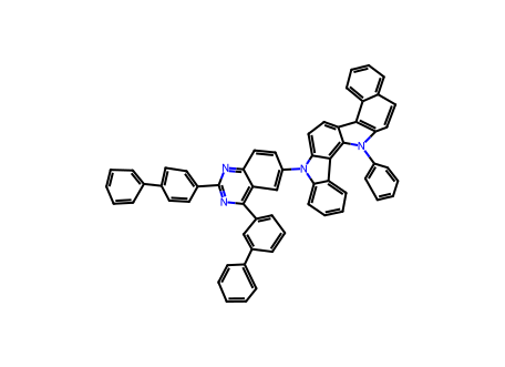 c1ccc(-c2ccc(-c3nc(-c4cccc(-c5ccccc5)c4)c4cc(-n5c6ccccc6c6c5ccc5c7c8ccccc8ccc7n(-c7ccccc7)c56)ccc4n3)cc2)cc1